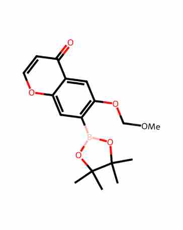 COCOc1cc2c(=O)ccoc2cc1B1OC(C)(C)C(C)(C)O1